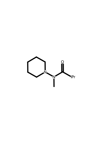 CC(C)C(=O)N(C)N1CCCCC1